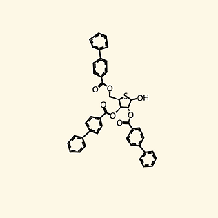 O=C(OC[C@H]1SC(O)[C@H](OC(=O)c2ccc(-c3ccccc3)cc2)[C@H]1OC(=O)c1ccc(-c2ccccc2)cc1)c1ccc(-c2ccccc2)cc1